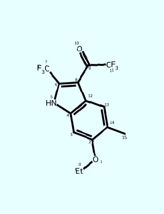 CCOc1cc2[nH]c(C(F)(F)F)c(C(=O)C(F)(F)F)c2cc1C